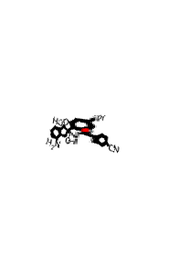 CC(C)c1ccc2c(c1)OC1(O)c3cccc(N)c3C(=O)C21NC(=O)c1ccc(C#N)cc1